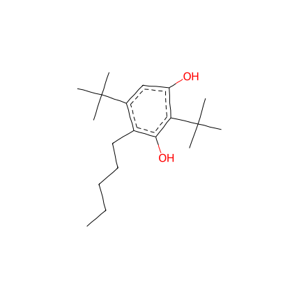 CCCCCc1c(C(C)(C)C)cc(O)c(C(C)(C)C)c1O